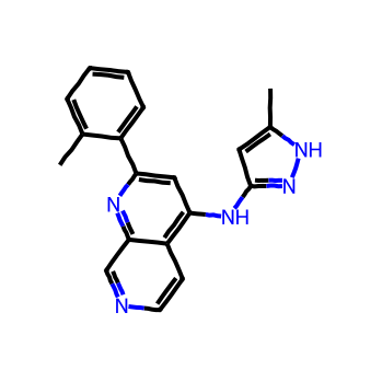 Cc1cc(Nc2cc(-c3ccccc3C)nc3cnccc23)n[nH]1